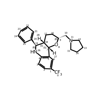 FC(F)(F)c1ccc2c(c1)[C@H]1O[C@@H](CN3CCCC3)CC[C@H]1[C@H](c1ccccc1)N2